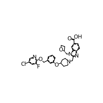 O=C(O)c1ccc2nc(CN3CCC(Oc4cccc(COc5ncc(Cl)cc5F)c4)CC3)n(C[C@@H]3CCO3)c2c1